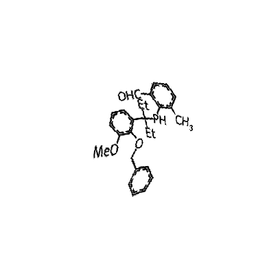 CCC(CC)(Pc1c(C)cccc1C=O)c1cccc(OC)c1OCc1ccccc1